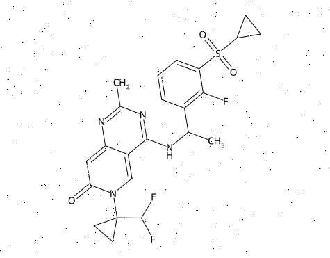 Cc1nc(NC(C)c2cccc(S(=O)(=O)C3CC3)c2F)c2cn(C3(C(F)F)CC3)c(=O)cc2n1